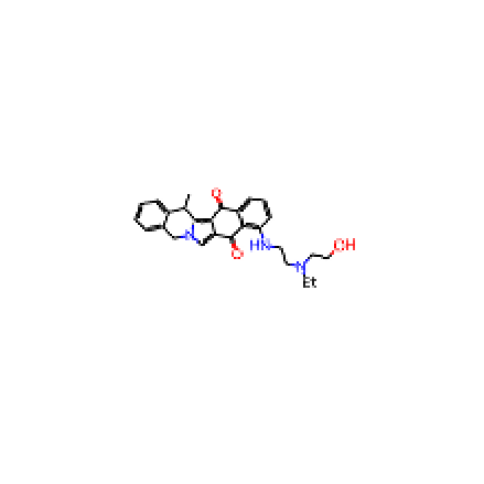 CCN(CCO)CCNc1cccc2c1C(=O)c1cn3c(c1C2=O)C(C)c1ccccc1C3